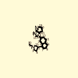 ICN1CCC(c2cccc3ccc(-n4cnc5ncccc54)cc23)C1